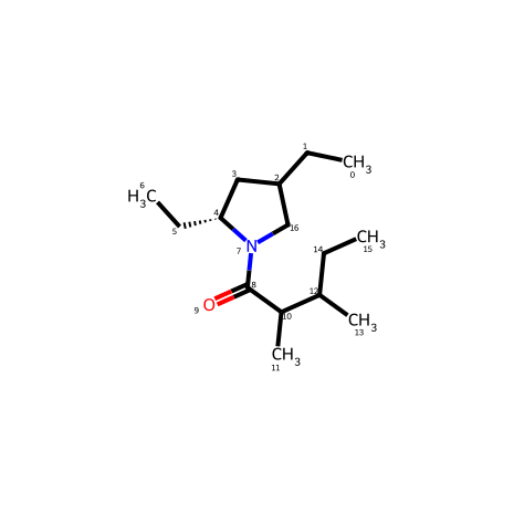 CCC1C[C@@H](CC)N(C(=O)C(C)C(C)CC)C1